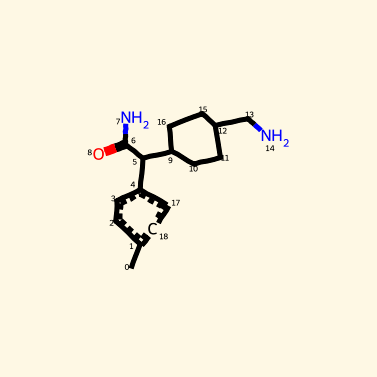 Cc1ccc(C(C(N)=O)C2CCC(CN)CC2)cc1